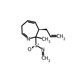 C=CC[C@@H]1C=CCC=NC1(C)[S@+]([O-])N=C